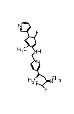 C=C(C/C(=N\C)C(F)F)c1ccc(CNC2=CC(F)C(c3cccnc3)C=C2C)nc1